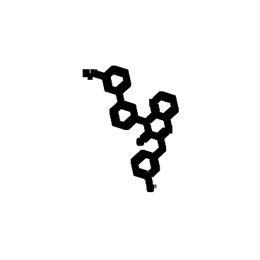 Nc1cccc(-c2cccc(-n3c(=O)c(Cc4ccc[n+]([O-])c4)nc4cccnc43)c2)c1